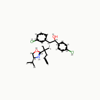 C=CCC(C)(C[C@H](c1cccc(Cl)c1)[C@@H](O)c1ccc(Cl)cc1)C1=N[C@@H](C(C)C)CO1